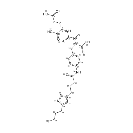 CN(C(=O)N[C@@H](CCC(=O)O)C(=O)O)[C@@H](Cc1ccc(NC(=O)CCCn2cc(CCCF)nn2)cc1)C(=O)O